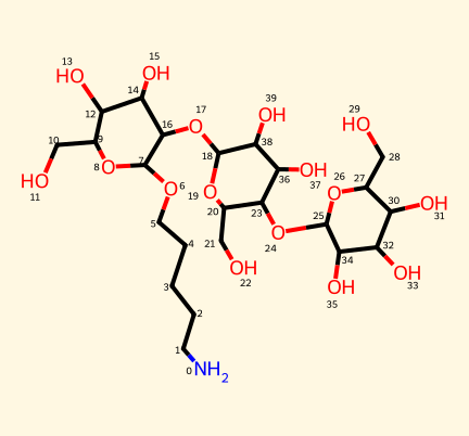 NCCCCCOC1OC(CO)C(O)C(O)C1OC1OC(CO)C(OC2OC(CO)C(O)C(O)C2O)C(O)C1O